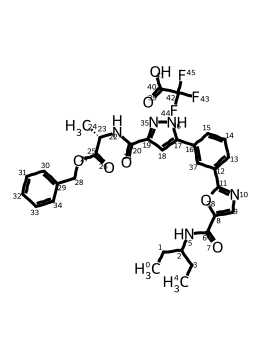 CCC(CC)NC(=O)c1cnc(-c2cccc(-c3cc(C(=O)N[C@@H](C)C(=O)OCc4ccccc4)n[nH]3)c2)o1.O=C(O)C(F)(F)F